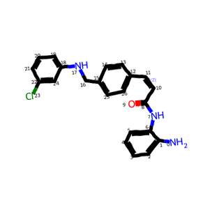 Nc1ccccc1NC(=O)/C=C\c1ccc(CNc2cccc(Cl)c2)cc1